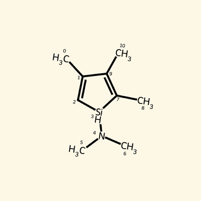 CC1=C[SiH](N(C)C)C(C)=C1C